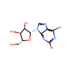 OC[C@H]1O[C@@H](n2cnc3c(Cl)nc(Br)nc32)[C@H](O)[C@@H]1O